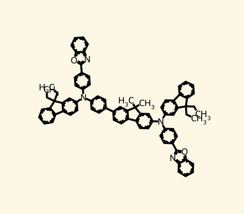 CCC1(CC)c2ccccc2-c2ccc(N(c3ccc(-c4ccc5c(c4)C(C)(C)c4cc(N(c6ccc(-c7nc8ccccc8o7)cc6)c6ccc7c(c6)C(CC)(CC)c6ccccc6-7)ccc4-5)cc3)c3ccc(-c4nc5ccccc5o4)cc3)cc21